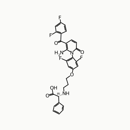 Nc1c(C(=O)c2ccc(F)cc2F)ccc(=O)n1-c1c(F)cc(OCCCN[C@@H](C(=O)O)c2ccccc2)cc1F